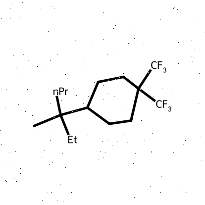 CCCC(C)(CC)C1CCC(C(F)(F)F)(C(F)(F)F)CC1